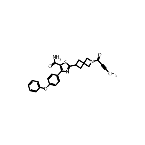 CC#CC(=O)N1CC2(CC(c3nc(-c4ccc(Oc5ccccc5)cc4)c(C(N)=O)s3)C2)C1